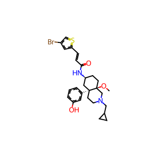 CO[C@]12CC[C@H](NC(=O)/C=C/c3cc(Br)cs3)C[C@]1(c1cccc(O)c1)CCN(CC1CC1)C2